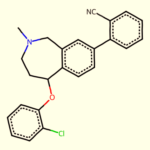 CN1CCC(Oc2ccccc2Cl)c2ccc(-c3ccccc3C#N)cc2C1